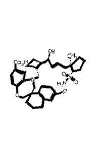 C[C@]1(C/C=C/[C@H](O)[C@@H]2CC[C@H]2CN2C[C@@]3(CCCc4cc(Cl)ccc43)COc3ccc(C(=O)O)cc32)CCC[C@@H]1S(N)(=O)=O